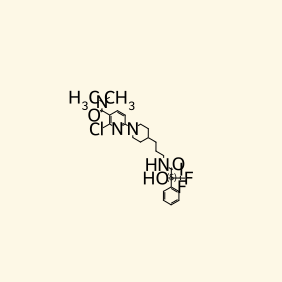 CN(C)C(=O)c1ccc(N2CCC(CCCNC(=O)[C@@](O)(c3ccccc3)C(F)(F)I)CC2)nc1Cl